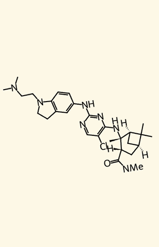 CNC(=O)[C@H]1C[C@H]2C[C@H](C2(C)C)[C@@]1(C)Nc1nc(Nc2ccc3c(c2)CCN3CCN(C)C)ncc1Cl